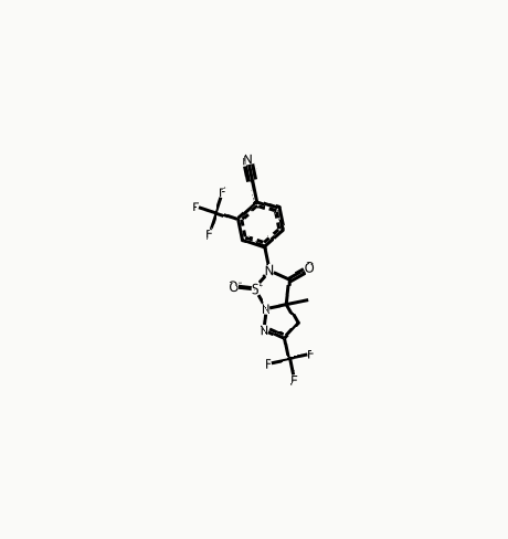 CC12CC(C(F)(F)F)=NN1[S+]([O-])N(c1ccc(C#N)c(C(F)(F)F)c1)C2=O